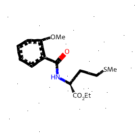 CCOC(=O)[C@H](CCSC)NC(=O)c1ccccc1OC